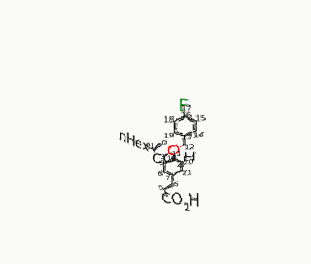 C=C(CCCCCC)C(=O)O.O=C(O)C=Cc1ccc(OCc2ccc(F)cc2)cc1